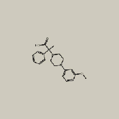 COc1cccc(N2CCN(C(C)(C(=O)O)c3ccccc3)CC2)c1